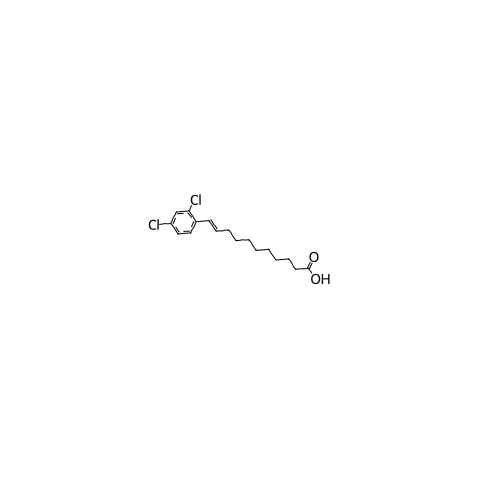 O=C(O)CCCCCCCCC=Cc1ccc(Cl)cc1Cl